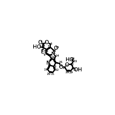 CC[C@@]1(O)C(=O)OCc2c1cc1n(c2=O)Cc2c-1nc1ccccc1c2COC1C=CC(O)C(CO)O1